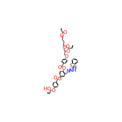 C=CC(=O)OCCCCOCC(COc1ccc(C(=O)Oc2ccc(OC(=O)c3ccc(OC(O)C=C)cc3)cc2/C=N/Nc2nc3ccccc3s2)cc1)OC(=O)C=C